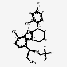 CCC(NCC(F)(F)F)c1ccc(Cl)c2nc3n(c12)CCCN3c1ccc(Cl)cc1Cl